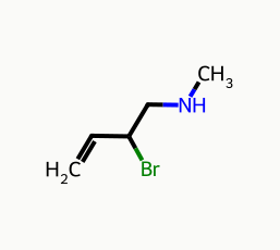 C=CC(Br)CNC